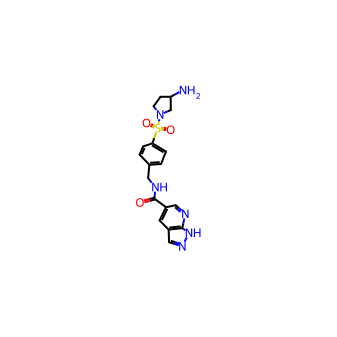 NC1CCN(S(=O)(=O)c2ccc(CNC(=O)c3cnc4[nH]ncc4c3)cc2)C1